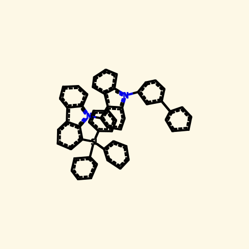 c1ccc(-c2cccc(-n3c4ccccc4c4c(-n5c6ccccc6c6cccc([Si](c7ccccc7)(c7ccccc7)c7ccccc7)c65)cccc43)c2)cc1